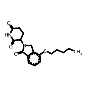 CCCCCSc1cccc2c1CN(C1CCC(=O)NC1=O)C2=O